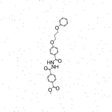 COC(=O)c1ccc(C(=O)NNC(=O)c2ccc(OCCCOc3ccccc3)cc2)cc1